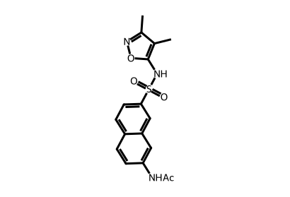 CC(=O)Nc1ccc2ccc(S(=O)(=O)Nc3onc(C)c3C)cc2c1